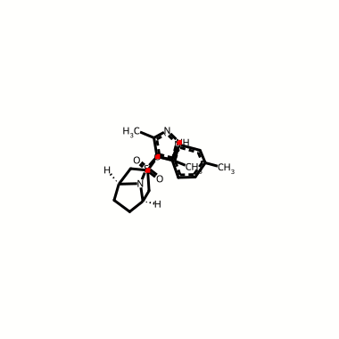 Cc1ccc(OC2C[C@H]3CC[C@@H](C2)N3S(=O)(=O)c2c(C)n[nH]c2C)nc1